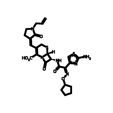 C=CCN1CCC(=CC2=C(C(=O)O)N3C(=O)[C@@H](NC(=O)/C(=N\OC4CCCC4)c4csc(N)n4)[C@H]3SC2)C1=O